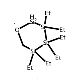 CC[Si]1(CC)CO[SiH2][Si](CC)(CC)[Si]1(CC)CC